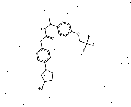 CC(NC(=O)Cc1ccc(N2CCC(O)C2)cc1)c1ccc(OCC(F)(F)F)cn1